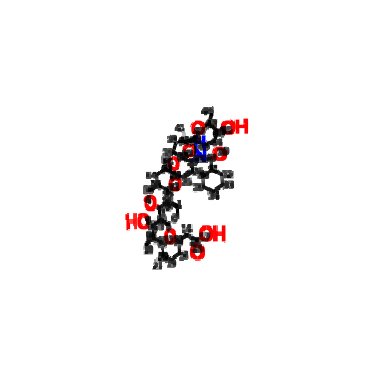 CC[C@@H](C(=O)[C@@H](C)[C@@H](O)[C@H](C)[C@@H]1O[C@@H](CC(=O)O)CC[C@@H]1C)[C@H]1O[C@]2(C=CC(NC(=O)C3CCCCC3)[C@]3(CC[C@@](C)([C@H]4CC[C@@H](O)[C@H](C)O4)O3)O2)[C@H](C)C[C@@H]1C